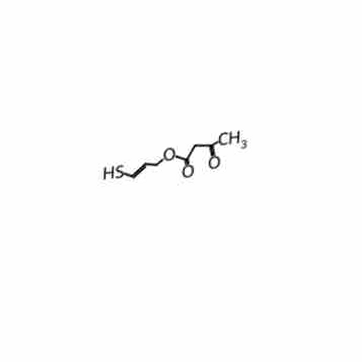 CC(=O)CC(=O)OCC=CS